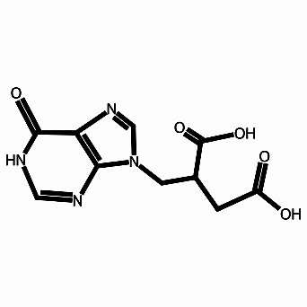 O=C(O)CC(Cn1cnc2c(=O)[nH]cnc21)C(=O)O